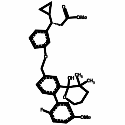 COC(=O)C[C@H](c1cccc(OCc2ccc(-c3cc(OC)ccc3F)c(C3(O)OCCCC3(C)C)c2)c1)C1CC1